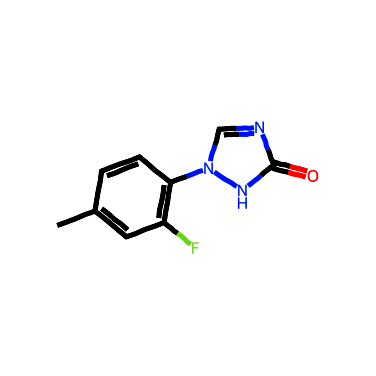 Cc1ccc(-n2cnc(=O)[nH]2)c(F)c1